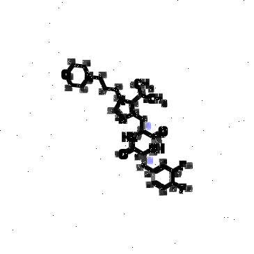 CC(C)c1c(/C=c2\[nH]c(=O)/c(=C/c3ccc(F)c(F)c3)[nH]c2=O)ncn1CCCN1CCOCC1